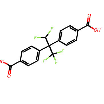 O=C(O)c1ccc(C(c2ccc(C(=O)O)cc2)(C(F)F)C(F)(F)F)cc1